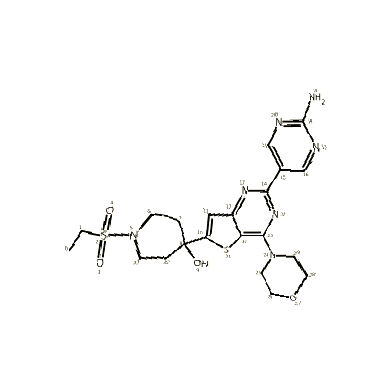 CCS(=O)(=O)N1CCC(O)(c2cc3nc(-c4cnc(N)nc4)nc(N4CCOCC4)c3s2)CC1